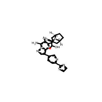 CC(=O)c1c(C2C[C@H]3CC[C@@H](C2)N3C(=O)C(C)O)nc2c(-c3ccc(-c4nccs4)nc3)cnn2c1N